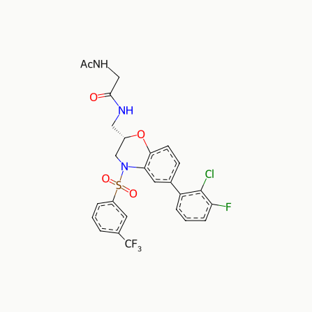 CC(=O)NCC(=O)NC[C@H]1CN(S(=O)(=O)c2cccc(C(F)(F)F)c2)c2cc(-c3cccc(F)c3Cl)ccc2O1